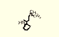 CN(C)CCc1c[nH]c2ccc[c]c12